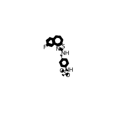 CS(=O)(=O)N[C@H]1CC[C@H](CNc2nc3c(s2)CCCc2ccc(F)cc2-3)CC1